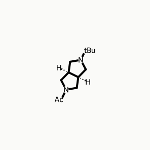 CC(=O)N1C[C@@H]2CN(C(C)(C)C)C[C@@H]2C1